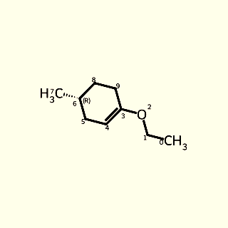 CCOC1=CC[C@H](C)CC1